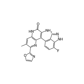 Cc1cc2[nH]c(=O)c(N)c(-c3ccc(F)c4[nH]ncc34)c2nc1-c1ncco1